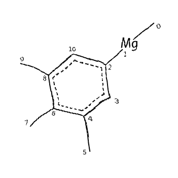 [CH3][Mg][c]1cc(C)c(C)c(C)c1